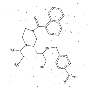 CCC(C)N1CCN(C(=O)c2cccc3ccccc23)C[C@@H]1CC(CO)NCc1ccc([N+](=O)[O-])cc1